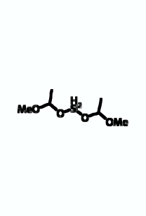 COC(C)O[SiH2]OC(C)OC